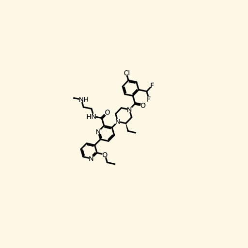 CCOc1ncccc1-c1ccc(N2CCN(C(=O)c3ccc(Cl)cc3C(F)F)C[C@H]2CC)c(C(=O)NCCNC)n1